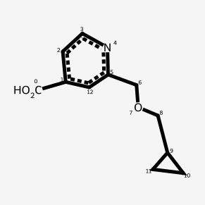 O=C(O)c1ccnc(COCC2CC2)c1